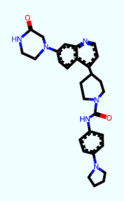 O=C1CN(c2ccc3c(C4CCN(C(=O)Nc5ccc(N6CCCC6)cc5)CC4)ccnc3c2)CCN1